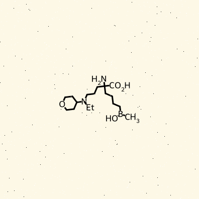 CCN(CCCC(N)(CCCCB(C)O)C(=O)O)C1CCOCC1